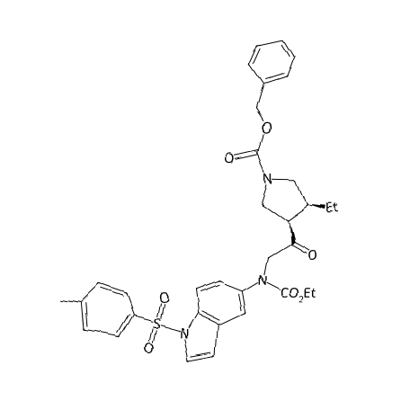 CCOC(=O)N(CC(=O)[C@H]1CN(C(=O)OCc2ccccc2)C[C@H]1CC)c1ccc2c(ccn2S(=O)(=O)c2ccc(C)cc2)c1